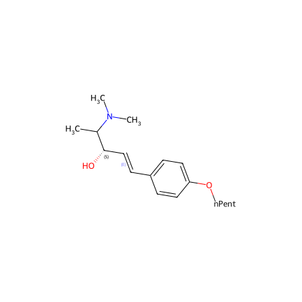 CCCCCOc1ccc(/C=C/[C@H](O)C(C)N(C)C)cc1